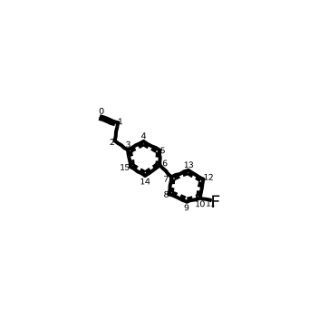 C=CCc1ccc(-c2ccc(F)cc2)cc1